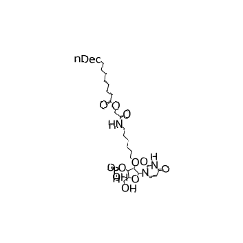 CCCCCCCCCCCCCCCCCC(=O)OCC(=O)NCCCCCCOC1C(O[PH](=O)O)C(CO)OC1n1ccc(=O)[nH]c1=O